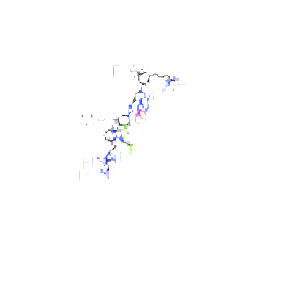 CSc1cc(-n2cc3cc(-c4cc(CCC[C@H](C)N)cc(C(F)(F)F)c4)[nH]c3nc2=O)cc(F)c1[C@@H]1CCC[C@@H](CCNC(=N)CN)N1CCCF